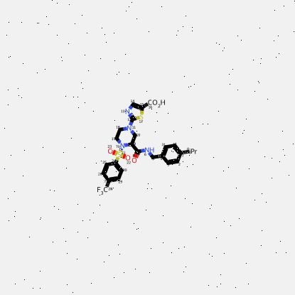 CC(C)c1ccc(CNC(=O)C2CN(c3ncc(C(=O)O)s3)CCN2S(=O)(=O)c2ccc(C(F)(F)F)cc2)cc1